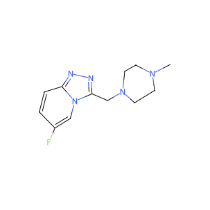 CN1CCN(Cc2nnc3ccc(F)cn23)CC1